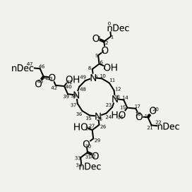 CCCCCCCCCCCC(=O)OCC(O)CN1CCCN(CC(O)COC(=O)CCCCCCCCCCC)CCN(CC(O)COC(=O)CCCCCCCCCCC)CCCN(CC(O)COC(=O)CCCCCCCCCCC)CC1